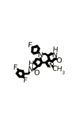 Cn1cc2c3c(c[nH]c(=O)c31)CN(c1ccc(F)cc1)c1ccc(C(=O)NCc3cc(F)ccc3F)cc1-2